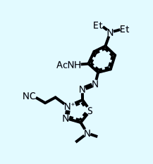 CCN(CC)c1ccc(N=Nc2sc(N(C)C)n[n+]2CCC#N)c(NC(C)=O)c1